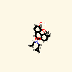 C=C1CC[C@]2(O)C3c4c(ccc(O)c4O[C@@H]13)C[C@H]2N(CCC)CC1CC1